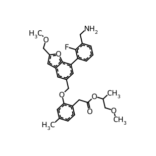 COCc1cc2cc(COc3cc(C)ccc3CC(=O)OC(C)COC)cc(-c3cccc(CN)c3F)c2o1